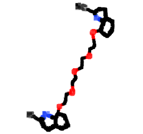 N#Cc1ccc2cccc(OCCOCCOCCOCCOc3cccc4ccc(C#N)nc34)c2n1